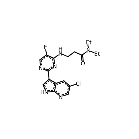 CCN(CC)C(=O)CCNc1nc(-c2c[nH]c3ncc(Cl)cc23)ncc1F